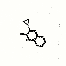 O=c1[nH]c2cccnc2cc1C1CC1